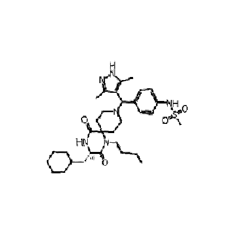 CCCCN1C(=O)[C@H](CC2CCCCC2)NC(=O)C12CCN(C(c1ccc(NS(C)(=O)=O)cc1)c1c(C)n[nH]c1C)CC2